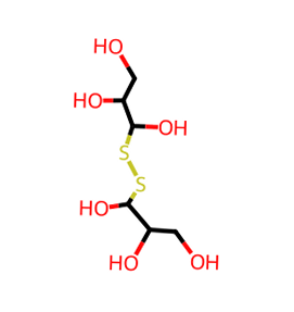 OCC(O)C(O)SSC(O)C(O)CO